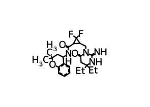 CCC1(CC)CC(=O)N(CC2C(C(=O)N[C@@H]3CC(C)(C)Oc4ccccc43)C2(F)F)C(=N)N1